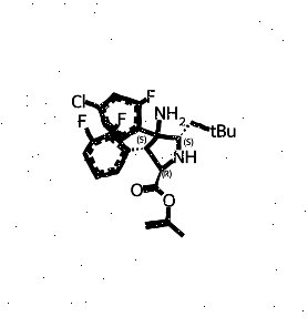 C=C(C)OC(=O)[C@@H]1N[C@@H](CC(C)(C)C)C(N)(c2ccc(Cl)cc2F)[C@H]1c1cccc(F)c1F